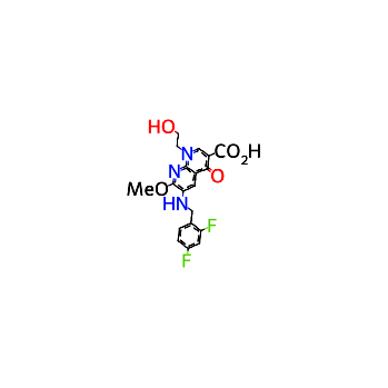 COc1nc2c(cc1NCc1ccc(F)cc1F)c(=O)c(C(=O)O)cn2CCO